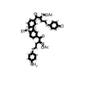 CCn1c2ccc(C(=O)/C(CCSc3ccc(N)cc3)=N/OC(C)=O)cc2c2cc(C(=O)/C(CCSc3ccc(Cl)cc3)=N/OC(C)=O)ccc21